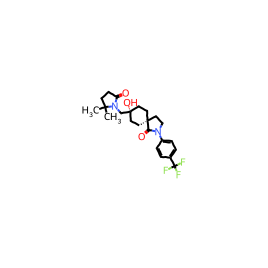 CC1(C)CCC(=O)N1C[C@]1(O)CC[C@@]2(CCN(c3ccc(C(F)(F)F)cc3)C2=O)CC1